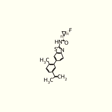 C=C(C)c1ccc(C)c(-c2ccc3nc(NC(=O)[C@@H]4C[C@@H]4F)sc3c2)c1